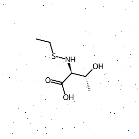 CCSN[C@H](C(=O)O)[C@@H](C)O